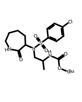 CC(CN(C1CCCCNC1=O)S(=O)(=O)c1ccc(Cl)cc1)NC(=O)OC(C)(C)C